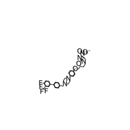 O=[N+]([O-])c1cn2c(n1)OC(COc1ccc(N3CCN(Cc4ccc(-c5ccc(F)c(C(F)(F)F)c5)cc4)CC3)cc1)CC2